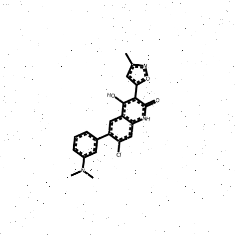 Cc1cc(-c2c(O)c3cc(-c4cccc(N(C)C)c4)c(Cl)cc3[nH]c2=O)on1